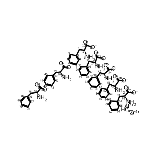 Cl.N[C@@H](Cc1ccccc1)C(=O)[O-].N[C@@H](Cc1ccccc1)C(=O)[O-].N[C@@H](Cc1ccccc1)C(=O)[O-].N[C@@H](Cc1ccccc1)C(=O)[O-].N[C@@H](Cc1ccccc1)C(=O)[O-].N[C@@H](Cc1ccccc1)C(=O)[O-].N[C@@H](Cc1ccccc1)C(=O)[O-].[Al+3].[Zr+4]